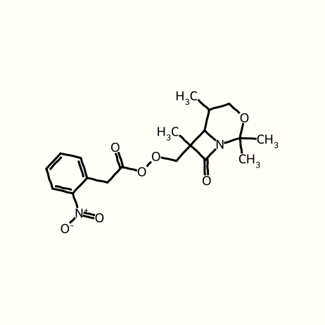 CC1COC(C)(C)N2C(=O)C(C)(COOC(=O)Cc3ccccc3[N+](=O)[O-])C12